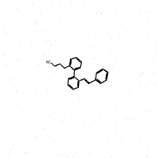 N#CCCCc1ccccc1-c1ccccc1C=Cc1ccccc1